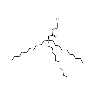 C=COC(=O)C[P+](CCCCCCCCCC)(CCCCCCCCCC)CCCCCCCCCC.[Cl-]